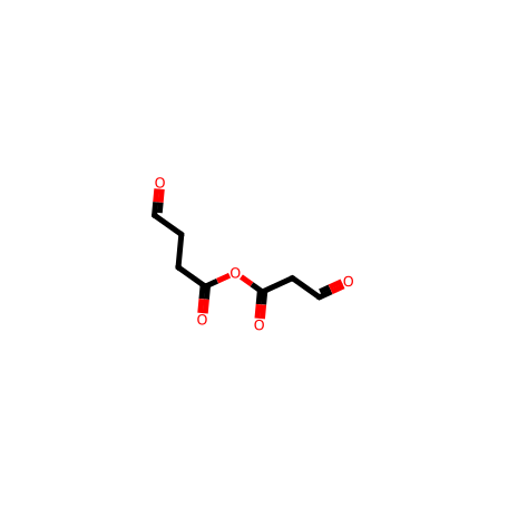 O=CCCC(=O)OC(=O)CC=O